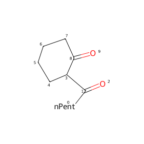 CCCCCC(=O)C1CCCCC1=O